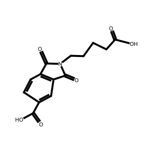 O=C(O)CCCCN1C(=O)c2ccc(C(=O)O)cc2C1=O